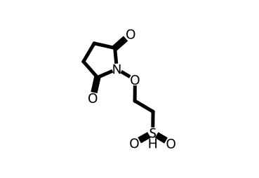 O=C1CCC(=O)N1OCC[SH](=O)=O